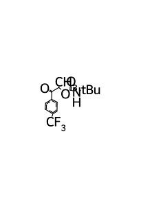 CC(OC(=O)NC(C)(C)C)C(=O)c1ccc(C(F)(F)F)cc1